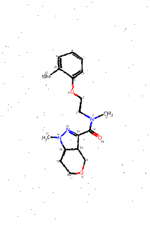 CN(CCOc1ccccc1C(C)(C)C)C(=O)C1=NN(C)C2CCOCC12